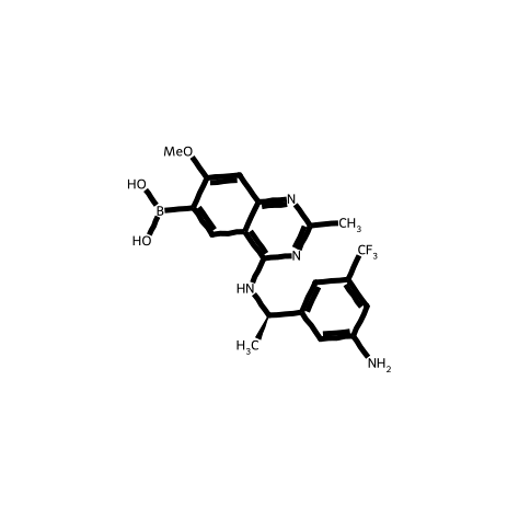 COc1cc2nc(C)nc(N[C@H](C)c3cc(N)cc(C(F)(F)F)c3)c2cc1B(O)O